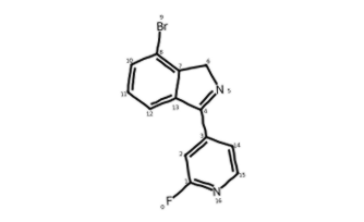 Fc1cc(C2=NCc3c(Br)cccc32)ccn1